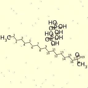 CCCCCCCCCCCCCCCCCC1(C)CO1.O=P(O)(O)O.O=P(O)(O)O